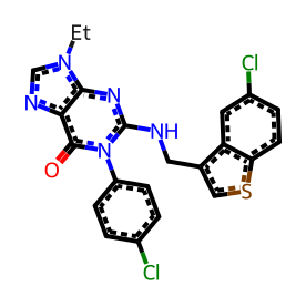 CCn1cnc2c(=O)n(-c3ccc(Cl)cc3)c(NCc3csc4ccc(Cl)cc34)nc21